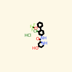 Cl.O=C(Nc1ccc(-c2ccccc2OC(F)(F)F)c(Cl)c1)[C@H]1C[C@@H](O)CCN1